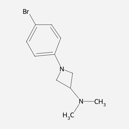 CN(C)C1CN(c2ccc(Br)cc2)C1